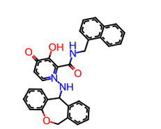 O=C(NCc1cccc2ccccc12)c1c(O)c(=O)ccn1NC1c2ccccc2COc2ccccc21